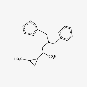 O=C(O)C(CC(Cc1ccccc1)Cc1ccccc1)C1CC1C(=O)O